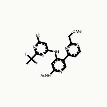 CCc1cc(Nc2cc(NC(C)=O)ncc2-c2ccnc(COC)n2)nc(C(C)(F)F)n1